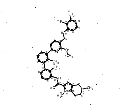 COc1nc(-c2cccc(-c3cccc(NC(=O)c4nc5c(n4C)CCN(C)C5)c3C)c2C)ccc1CNc1ccnc(C)c1F